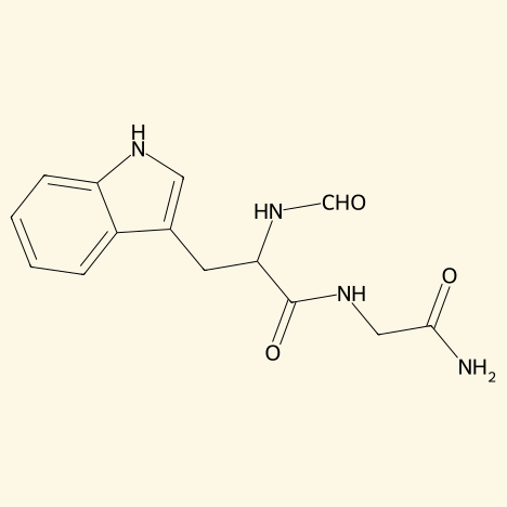 NC(=O)CNC(=O)C(Cc1c[nH]c2ccccc12)NC=O